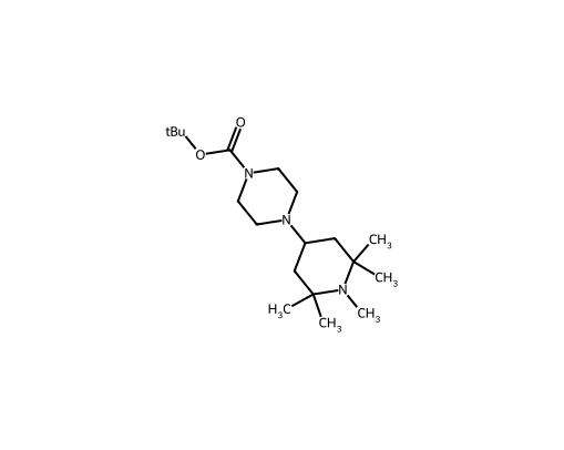 CN1C(C)(C)CC(N2CCN(C(=O)OC(C)(C)C)CC2)CC1(C)C